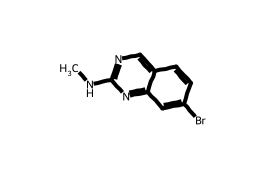 CNc1ncc2ccc(Br)cc2n1